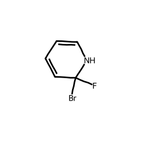 FC1(Br)C=CC=CN1